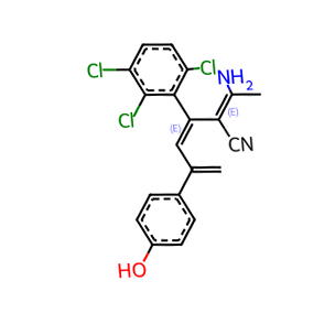 C=C(/C=C(\C(C#N)=C(\C)N)c1c(Cl)ccc(Cl)c1Cl)c1ccc(O)cc1